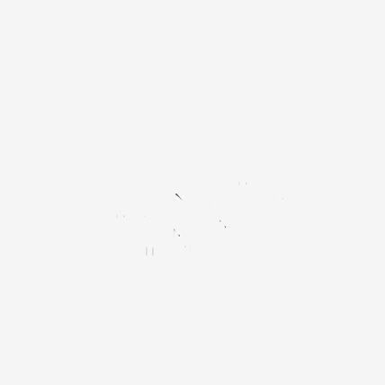 [2H]C(C(=O)OCC)N([2H])[C@@H](Cc1ccccc1)C(=O)N[C@@H](CC(C)C)C(=O)OC